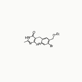 CCCc1nc(C)[nH]c(=O)c1Cc1ccc(Br)c(COCC)c1